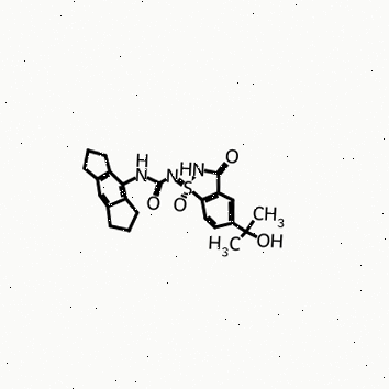 CC(C)(O)c1ccc2c(c1)C(=O)N[S@@]2(=O)=NC(=O)Nc1c2c(cc3c1CCC3)CCC2